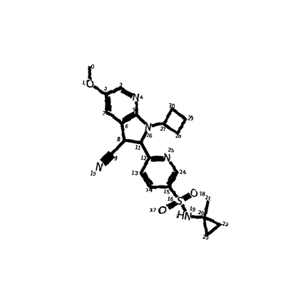 COc1cnc2c(c1)C(C#N)C(c1ccc(S(=O)(=O)NC3(C)CC3)cn1)N2C1CCC1